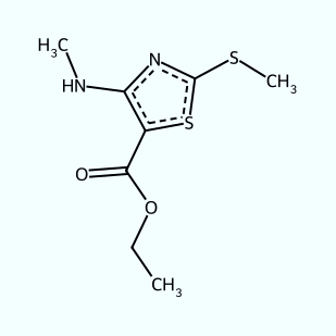 CCOC(=O)c1sc(SC)nc1NC